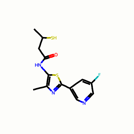 Cc1nc(-c2cncc(F)c2)sc1NC(=O)CC(C)S